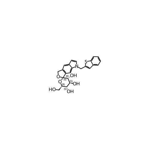 OC[C@H]1O[C@]2(OCc3cc4ccn(Cc5cc6ccccc6s5)c4cc32)[C@H](O)[C@@H](O)[C@@H]1O